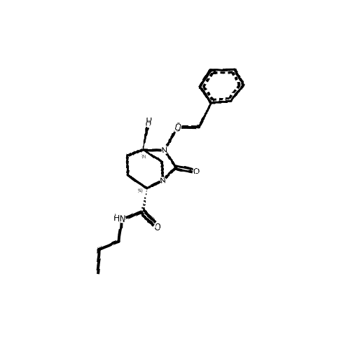 CCCNC(=O)[C@@H]1CC[C@H]2CN1C(=O)N2OCc1ccccc1